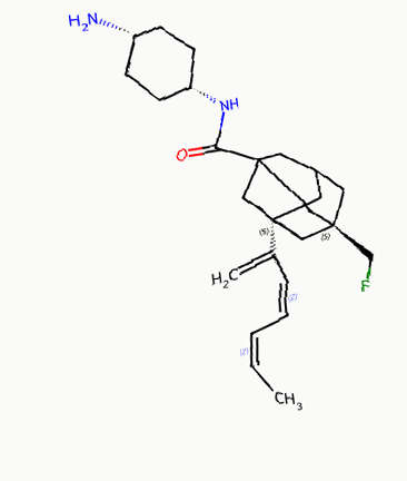 C=C(/C=C\C=C/C)[C@]12CC3CC(C(=O)N[C@H]4CC[C@@H](N)CC4)(C[C@](CF)(C3)C1)C2